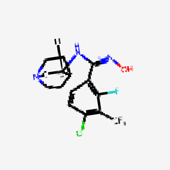 O/N=C(/N[C@H]1CN2CCC1CC2)c1ccc(Cl)c(C(F)(F)F)c1F